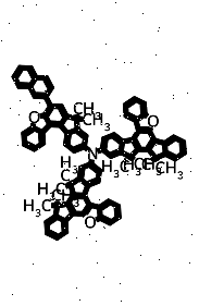 CC1(C)c2cc(N(c3ccc4c(c3)C(C)(C)c3c5c(c6oc7ccccc7c6c3-4)-c3ccccc3C5(C)C)c3ccc4c(c3)C(C)(C)c3c5c(c6oc7ccccc7c6c3-4)-c3ccccc3C5(C)C)ccc2-c2c1cc(-c1ccc3ccccc3c1)c1oc3ccccc3c21